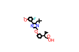 COc1ccc(F)c(-c2ncc(COc3cccc(C(CC(=O)O)C4CC4)c3)nc2CC(C)(C)C)c1